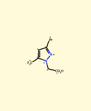 CC(C)c1cc(C(F)(F)F)n(CC(=O)O)n1